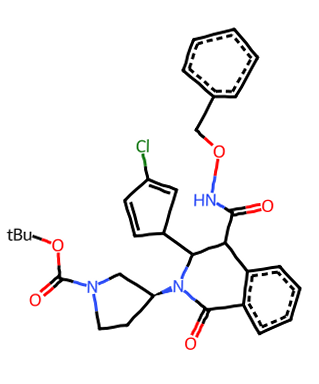 CC(C)(C)OC(=O)N1CC[C@H](N2C(=O)c3ccccc3C(C(=O)NOCc3ccccc3)C2C2C=CC(Cl)=C2)C1